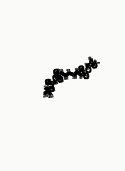 C[S+]([O-])COS(=O)(=O)CCCCCCS(=O)(=O)OCS(=O)OC(C)(C)C